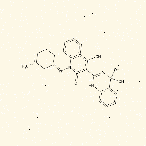 C[C@@H]1CCCC(=Nn2c(=O)c(C3=NS(O)(O)c4ccccc4N3)c(O)c3ccccc32)C1